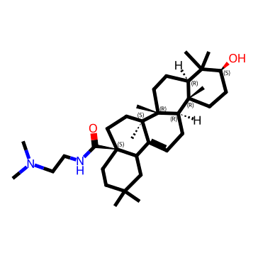 CN(C)CCNC(=O)[C@]12CCC(C)(C)CC1C1=CC[C@@H]3[C@@]4(C)CC[C@H](O)C(C)(C)[C@@H]4CC[C@@]3(C)[C@]1(C)CC2